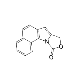 O=C1OCc2cc3ccc4ccccc4c3n21